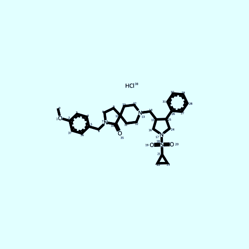 COc1ccc(CN2CCC3(CCN(CC4CN(S(=O)(=O)C5CC5)CC4c4ccccc4)CC3)C2=O)cc1.Cl